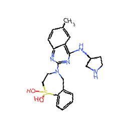 Cc1ccc2nc(N3CCS(O)(O)c4ccccc4C3)nc(NC3CCNC3)c2c1